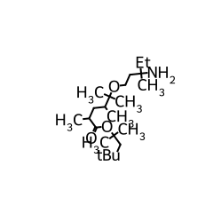 CCC(C)(N)CCOC(C)(C)C(C)CC(C)C(=O)OC(C)(C)CC(C)(C)C